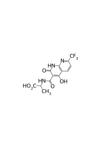 CC(NC(=O)c1c(O)c2ccc(C(F)(F)F)nc2[nH]c1=O)C(=O)O